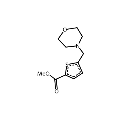 COC(=O)c1ccc(CN2CCOCC2)s1